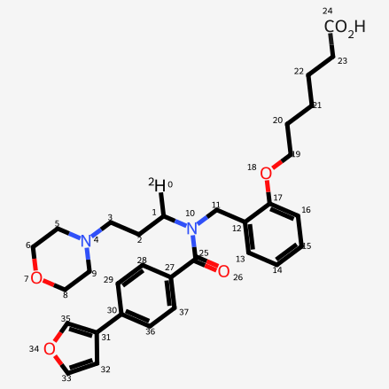 [2H]C(CCN1CCOCC1)N(Cc1ccccc1OCCCCCC(=O)O)C(=O)c1ccc(-c2ccoc2)cc1